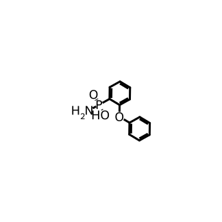 NP(=O)(O)c1ccccc1Oc1ccccc1